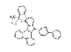 CC(C)(C)c1ccccc1-c1ccc2c(c1)c1c3ccccc3c3ccccc3c1n2-c1ccc(-c2ccccc2)cc1